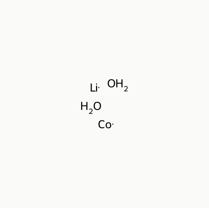 O.O.[Co].[Li]